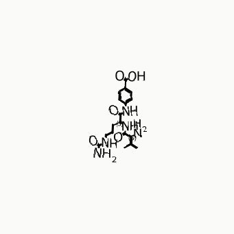 CC(C)[C@H](N)C(=O)N[C@@H](CCCNC(N)=O)C(=O)Nc1ccc(C(=O)O)cc1